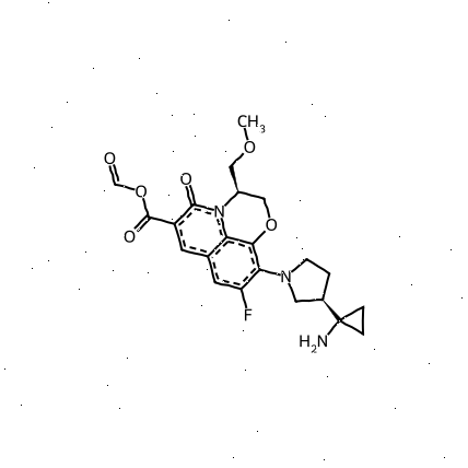 COC[C@H]1COc2c(N3CC[C@@H](C4(N)CC4)C3)c(F)cc3cc(C(=O)OC=O)c(=O)n1c23